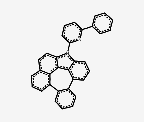 c1ccc(-c2cccc(-n3c4cccc5c4c4c6c(cccc6ccc43)-c3ccccc3-5)n2)cc1